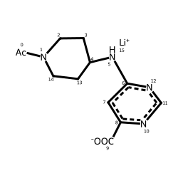 CC(=O)N1CCC(Nc2cc(C(=O)[O-])ncn2)CC1.[Li+]